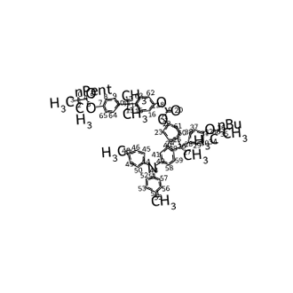 CCCCCC(C)(C)C(=O)Oc1ccc(C(C)(C)c2ccc(OC(=O)Oc3ccc(C(C)(c4ccc(OC(C)(C)CCCC)cc4)c4ccc(N(c5ccc(C)cc5)c5ccc(C)cc5)cc4)cc3)cc2)cc1